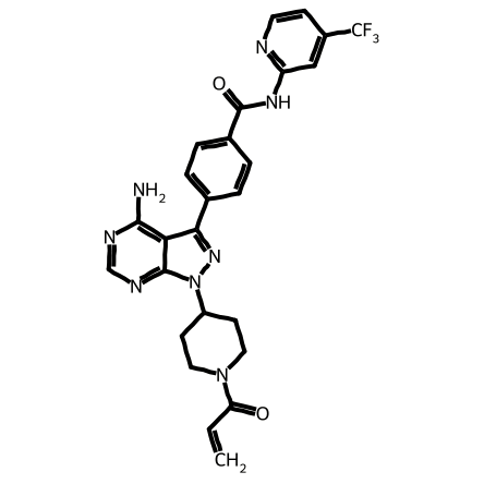 C=CC(=O)N1CCC(n2nc(-c3ccc(C(=O)Nc4cc(C(F)(F)F)ccn4)cc3)c3c(N)ncnc32)CC1